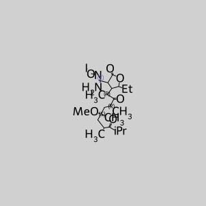 CCC1OC(=O)C(/C(N)=N/OI)C1[C@@H](C)C(=O)[C@H](C)C[C@](C)(CC(C)C(=O)C(C)C)OC